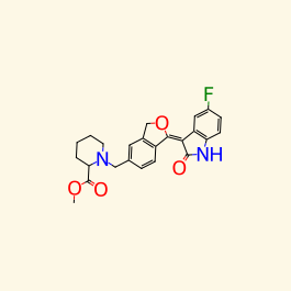 COC(=O)C1CCCCN1Cc1ccc2c(c1)COC2=C1C(=O)Nc2ccc(F)cc21